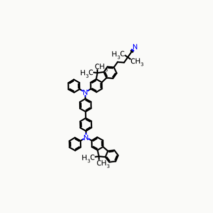 CC(C)(C#N)CCc1ccc2c(c1)C(C)(C)c1cc(N(c3ccccc3)c3ccc(-c4ccc(N(c5ccccc5)c5ccc6c(c5)C(C)(C)c5ccccc5-6)cc4)cc3)ccc1-2